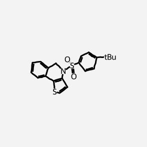 CC(C)(C)c1ccc(S(=O)(=O)N2Cc3ccccc3-c3sccc32)cc1